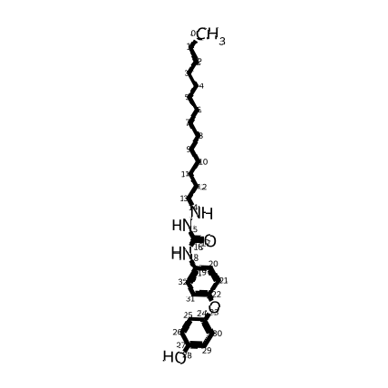 CCCCCCCCCCCCCCNNC(=O)Nc1ccc(Oc2ccc(O)cc2)cc1